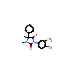 CN1C(=O)N(c2ccc(C#N)c(C(F)(F)F)c2)C(=O)C1(C)c1ccccc1